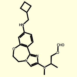 CC(COC=O)N(C)c1cn2c(n1)-c1ccc(NCC3CCC3)cc1OCC2